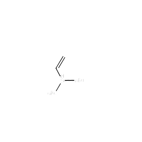 C=C[SiH](CCCC)CCCC